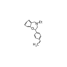 C=Cc1ccc(C2CN(CC)Cc3ccccc3O2)cc1